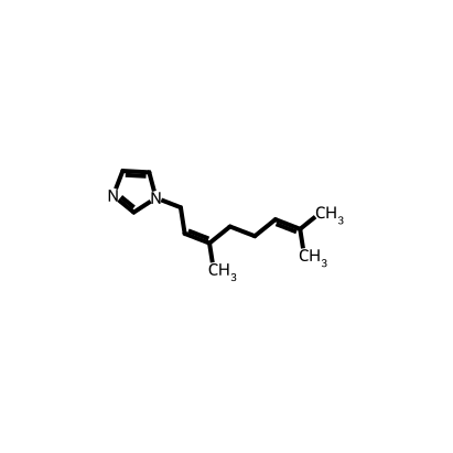 CC(C)=CCCC(C)=CCn1ccnc1